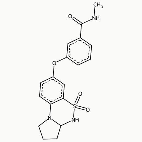 CNC(=O)c1cccc(Oc2ccc3c(c2)S(=O)(=O)NC2CCCN32)c1